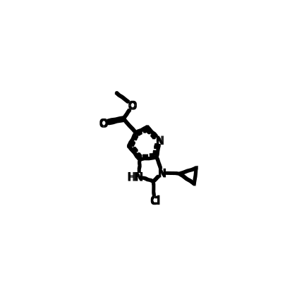 COC(=O)c1cnc2c(c1)NC(Cl)N2C1CC1